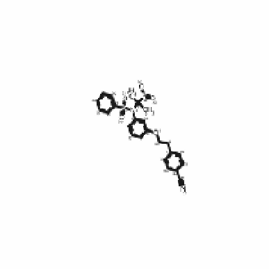 CC(C)(N(c1cccc(OCCc2ccc(C#N)cc2)c1)S(=O)(=O)c1ccccc1)P(=O)=O